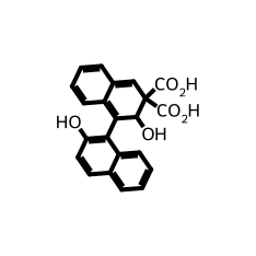 O=C(O)C1(C(=O)O)C=c2ccccc2=C(c2c(O)ccc3ccccc23)C1O